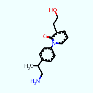 CC(CN)c1ccc(-n2cccc(CCO)c2=O)cc1